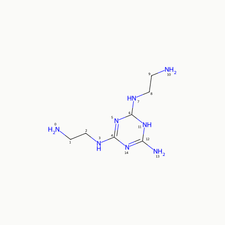 NCCNC1=NC(NCCN)NC(N)=N1